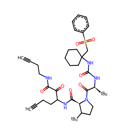 C#CCCNC(=O)C(=O)C(CCC#C)NC(=O)[C@@H]1C(C(C)(C)C)CCN1C(=O)[C@@H](NC(=O)NC1(CS(=O)(=O)c2ccccc2)CCCCC1)C(C)(C)C